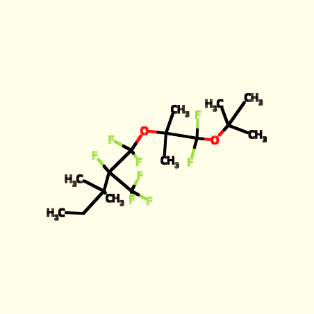 CCC(C)(C)C(F)(C(F)(F)F)C(F)(F)OC(C)(C)C(F)(F)OC(C)(C)C